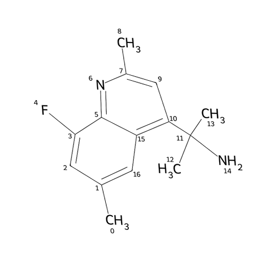 Cc1cc(F)c2nc(C)cc(C(C)(C)N)c2c1